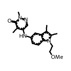 COCCn1c(C)c(C)c2cc(Nc3cnn(C)c(=O)c3C)ccc21